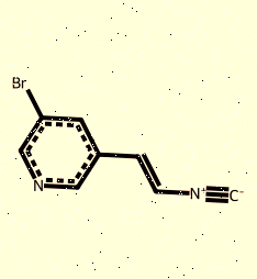 [C-]#[N+]C=Cc1cncc(Br)c1